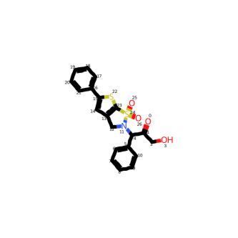 O=C(CO)C(c1ccccc1)N1Cc2cc(-c3ccccc3)sc2S1(=O)=O